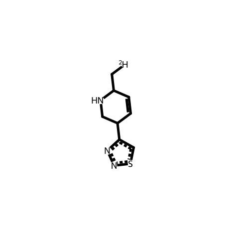 [2H]CC1C=CC(c2csnn2)CN1